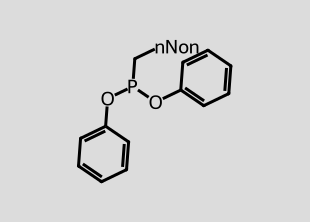 CCCCCCCCCCP(Oc1ccccc1)Oc1ccccc1